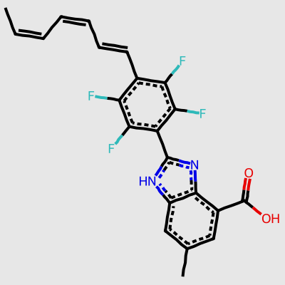 C\C=C/C=C\C=C\c1c(F)c(F)c(-c2nc3c(C(=O)O)cc(C)cc3[nH]2)c(F)c1F